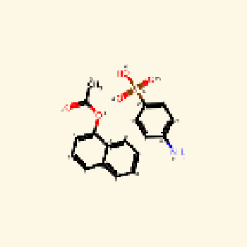 CC(=O)Oc1cccc2ccccc12.Nc1ccc(S(=O)(=O)O)cc1